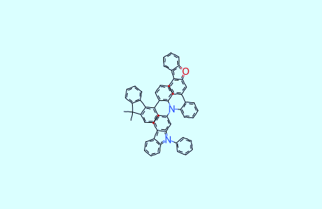 CC1(C)c2ccccc2-c2c(-c3ccccc3N(c3ccc4c5ccccc5n(-c5ccccc5)c4c3)c3ccccc3-c3ccc4c(c3)oc3ccccc34)cccc21